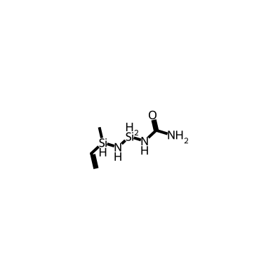 C=C[SiH](C)N[SiH2]NC(N)=O